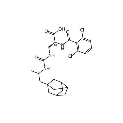 CC(CC12CC3CC(C1)C(C3)C2)NC(=O)NC[C@H](NC(=O)c1c(Cl)cccc1Cl)C(=O)O